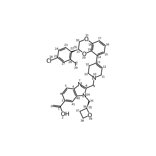 C=C(O)c1ccc2nc(CN3CC=C(c4cccc5c4O[C@@H](c4ccc(Cl)cc4F)CO5)CC3)n(C[C@@H]3CCO3)c2c1